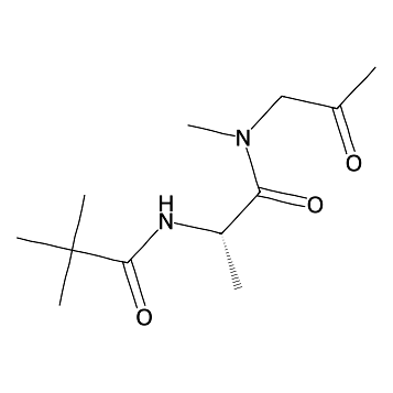 CC(=O)CN(C)C(=O)[C@H](C)NC(=O)C(C)(C)C